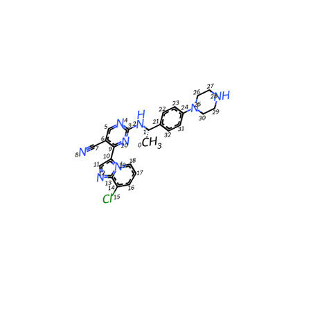 C[C@H](Nc1ncc(C#N)c(-c2cnc3c(Cl)cccn23)n1)c1ccc(N2CCNCC2)cc1